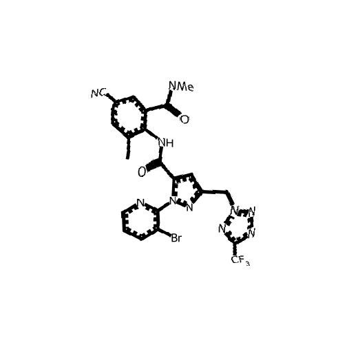 CNC(=O)c1cc(C#N)cc(C)c1NC(=O)c1cc(Cn2nnc(C(F)(F)F)n2)nn1-c1ncccc1Br